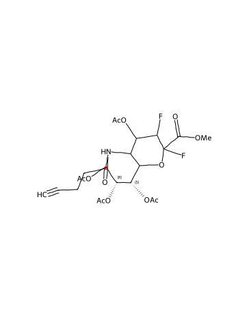 C#CCCC(=O)NC1C(OC(C)=O)C(F)C(F)(C(=O)OC)OC1[C@H](OC(C)=O)[C@@H](COC(C)=O)OC(C)=O